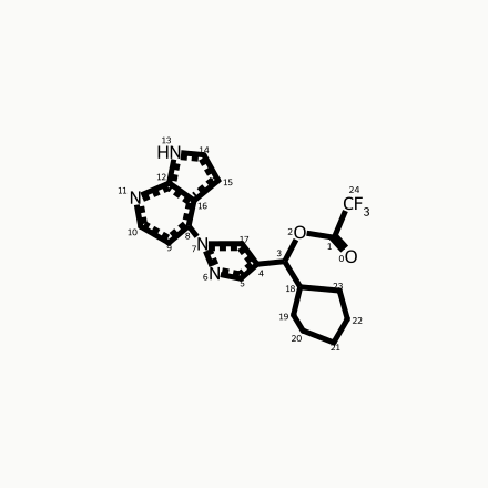 O=C(OC(c1cnn(-c2ccnc3[nH]ccc23)c1)C1CCCCC1)C(F)(F)F